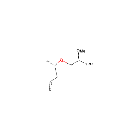 C=CC[C@H](C)OCC(OC)OC